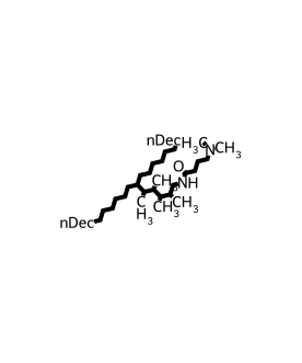 CCCCCCCCCCCCCCCCC(CCCCCCCCCCCCCCCC)C(C)C(C)C(C)C(C)CNC(=O)CCCN(C)C